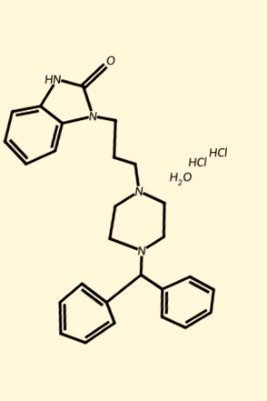 Cl.Cl.O.O=c1[nH]c2ccccc2n1CCCN1CCN(C(c2ccccc2)c2ccccc2)CC1